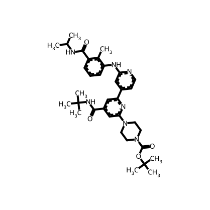 Cc1c(Nc2cc(-c3cc(C(=O)NC(C)(C)C)cc(N4CCN(C(=O)OC(C)(C)C)CC4)n3)ccn2)cccc1C(=O)NC(C)C